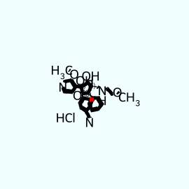 COCCNC[C@H]1[C@@H](O)[C@@]2(O)c3c(OC)cncc3O[C@@]2(c2ccc(C#N)cc2)[C@@H]1c1ccccc1.Cl